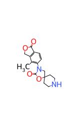 Cc1c(N2CC3(CCNCC3)OC2=O)ccc2c1COC2=O